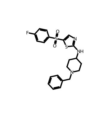 O=S(=O)(c1ccc(F)cc1)c1cnc(NC2CCN(Cc3ccccc3)CC2)s1